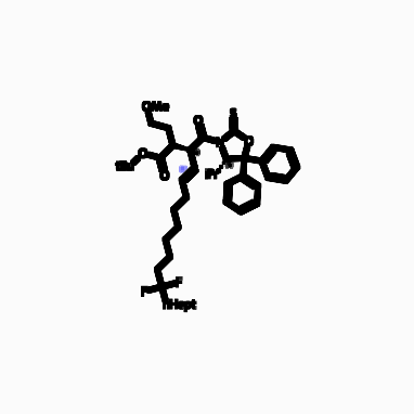 CCCCCCCC(F)(F)CCCCCC/C=C/[C@H](C(=O)N1C(=S)OC(c2ccccc2)(c2ccccc2)[C@@H]1C(C)C)C(CCOC)C(=O)OC(C)(C)C